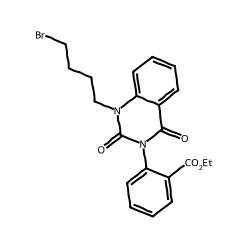 CCOC(=O)c1ccccc1-n1c(=O)c2ccccc2n(CCCCBr)c1=O